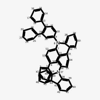 c1ccc(-c2ccc(N(c3ccc(-c4ccccc4)c(-c4ccccc4)c3)c3ccccc3-c3ccc(-n4c5ccccc5c5ccccc54)cc3)cc2)cc1